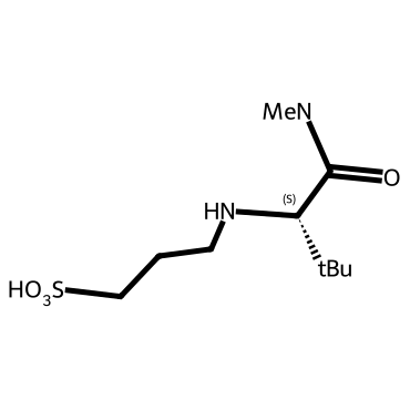 CNC(=O)[C@@H](NCCCS(=O)(=O)O)C(C)(C)C